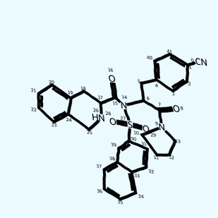 N#Cc1ccc(CC(C(=O)N2CCCC2)N(C(=O)C2Cc3ccccc3CN2)S(=O)(=O)c2ccc3ccccc3c2)cc1